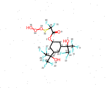 O=C(OC1CC(C(O)(C(F)(F)F)C(F)(F)F)CC(C(O)(C(F)(F)F)C(F)(F)F)C1)C(F)(F)SOOO